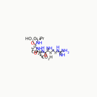 CC(C)[C@H](NC(=O)[C@H](CC(=O)O)NC(=O)[C@H](CC(=O)O)NC(=O)[C@@H](N)CCCNC(=N)N)C(=O)O